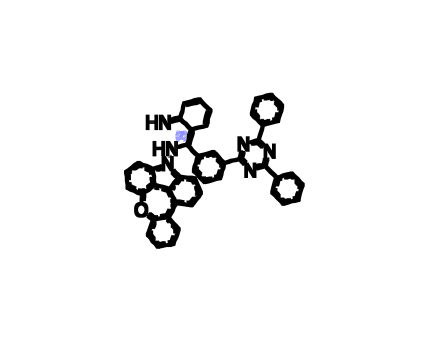 N=C1C=CC=C/C1=C(/Nn1c2cccc3oc4ccccc4c4cccc1c4c32)c1cccc(-c2nc(-c3ccccc3)nc(-c3ccccc3)n2)c1